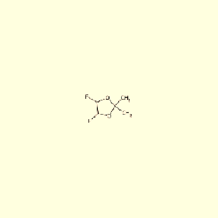 CC1(C)OC(F)C(F)O1